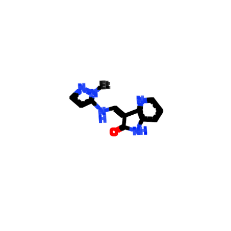 CCn1nccc1NC=C1C(=O)Nc2cccnc21